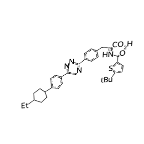 CCC1CCC(c2ccc(-c3cnc(-c4ccc(C[C@H](NC(=O)c5ccc(C(C)(C)C)s5)C(=O)O)cc4)nn3)cc2)CC1